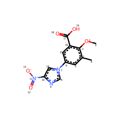 COc1c(C)cc(-n2cnc([N+](=O)[O-])c2)cc1C(=O)O